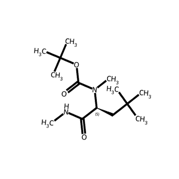 CNC(=O)[C@H](CC(C)(C)C)N(C)C(=O)OC(C)(C)C